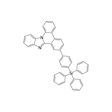 c1ccc([Si](c2ccccc2)(c2ccccc2)c2ccc(-c3ccc4c5ccccc5n5c6ccccc6nc5c4c3)cc2)cc1